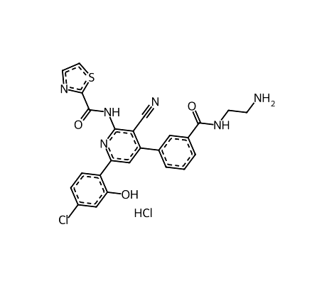 Cl.N#Cc1c(-c2cccc(C(=O)NCCN)c2)cc(-c2ccc(Cl)cc2O)nc1NC(=O)c1nccs1